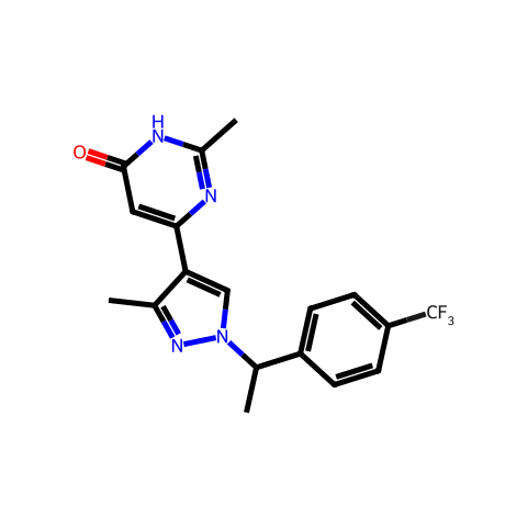 Cc1nc(-c2cn(C(C)c3ccc(C(F)(F)F)cc3)nc2C)cc(=O)[nH]1